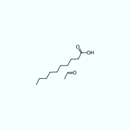 CC=O.CCCCCCCCCC(=O)O